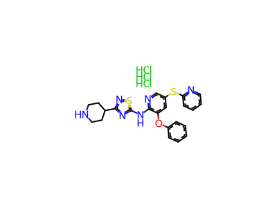 Cl.Cl.Cl.c1ccc(Oc2cc(Sc3ccccn3)cnc2Nc2nc(C3CCNCC3)ns2)cc1